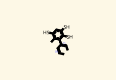 C/C=C\C(=C/C)c1c(C)c(S)cc(S)c1S